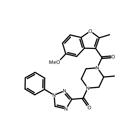 COc1ccc2oc(C)c(C(=O)N3CCN(C(=O)c4ncn(-c5ccccc5)n4)CC3C)c2c1